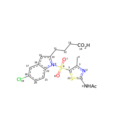 CC(=O)Nc1nc(C)c(S(=O)(=O)n2c(CCCC(=O)O)cc3cc(Cl)ccc32)s1